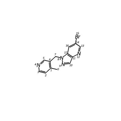 Cc1ccncc1Cn1ncc2ncc(Br)cc21